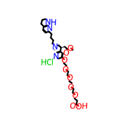 COC(=O)C[C@H](CN(C)CCCCc1ccc2c(n1)NCCC2)c1cncc(OCCOCCOCCOCCOCCC(=O)O)c1.Cl